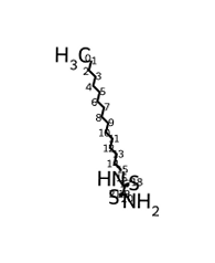 CCCCCCCCCCCCCCCCNC(=S)C(N)=S